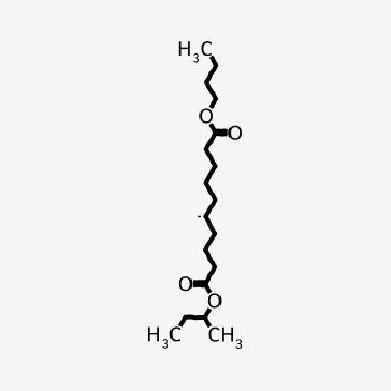 CCCCOC(=O)CCCC[CH]CCCC(=O)OC(C)CC